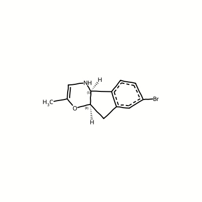 CC1=CN[C@H]2c3ccc(Br)cc3C[C@H]2O1